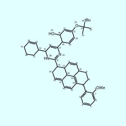 COc1ccccc1C1CCC2C=CC3C(C4=NC(C5C=CC(OC(C)(C)C(C)(C)C)=CC5O)=CC(C5C=CCCC5)N4)CC=C4C=CC1=C2C43